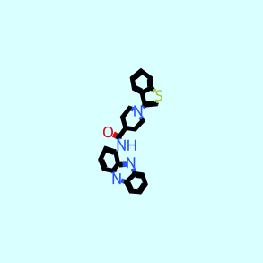 O=C(Nc1cccc2nc3ccccc3nc12)C1CCN(c2csc3ccccc23)CC1